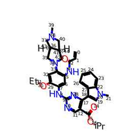 C=CC(=O)Nc1cc(Nc2ncc(C(=O)OC(C)C)c(-c3cn(C)c4ccccc34)n2)c(OCC)cc1N1C[C@H]2CN(C)C[C@H]2C1